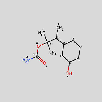 CC(C1CCCC(O)C1)C(C)(C)OC(N)=O